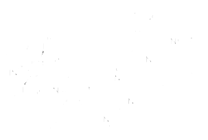 Cn1c(-c2cc3cccnc3n2CC2CC2)nc2cc(C(=O)N3CC[C@H]4CCN[C@H]4C3)cnc21